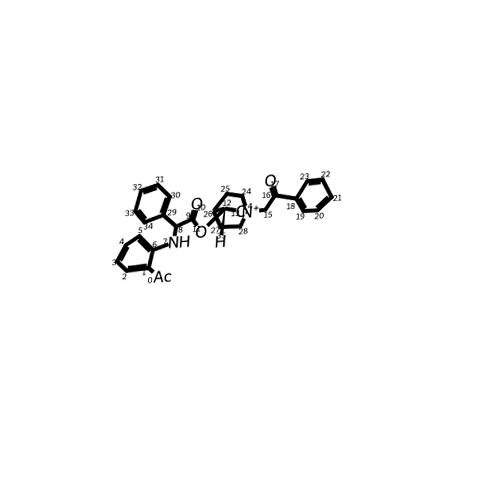 CC(=O)c1ccccc1NC(C(=O)O[C@H]1C[N+]2(CC(=O)c3ccccc3)CCC1CC2)c1ccccc1